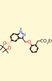 CCOC(=O)Cc1ccccc1OCc1nn(C)c2ccc(B3OC(C)(C)C(C)(C)O3)cc12